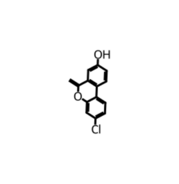 C=C1Oc2cc(Cl)ccc2-c2ccc(O)cc21